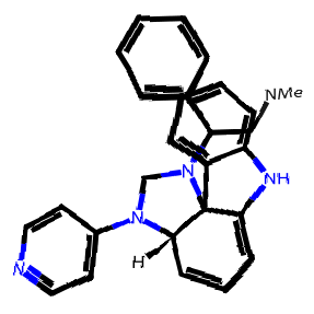 CNCC(c1ccccc1)N1CN(c2ccncc2)[C@H]2C=CC=C3Nc4ccccc4C321